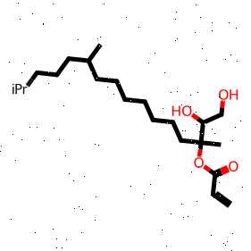 C=CC(=O)OC(C)(CCCCCCCC(C)CCCC(C)C)C(O)CO